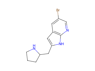 Brc1cnc2[nH]c(CC3CCCN3)cc2c1